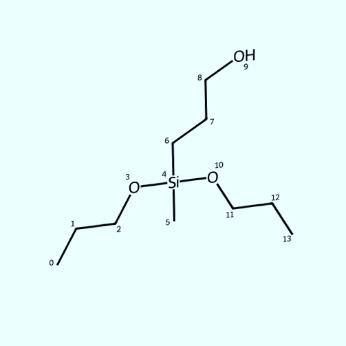 CCCO[Si](C)(CCCO)OCCC